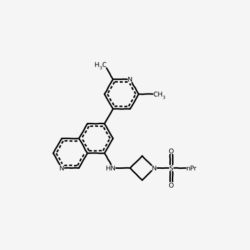 CCCS(=O)(=O)N1CC(Nc2cc(-c3cc(C)nc(C)c3)cc3ccncc23)C1